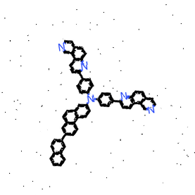 c1ccc2cc(-c3ccc4c(ccc5cc(N(c6ccc(-c7ccc8c(ccc9ccncc98)n7)cc6)c6ccc(-c7ccc8c(ccc9ccncc98)n7)cc6)ccc54)c3)ccc2c1